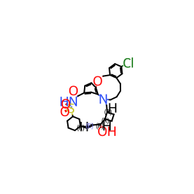 O=C1NS(=O)(=O)C2CCC[C@@H](/C=C/[C@H](O)[C@@H]3CC[C@H]3CN3CCCCc4cc(Cl)ccc4COc4ccc1cc43)C2